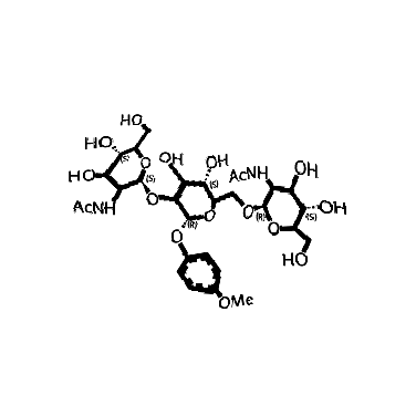 COc1ccc(O[C@H]2OC(CO[C@@H]3OC(CO)[C@@H](O)C(O)C3NC(C)=O)[C@@H](O)C(O)C2O[C@@H]2OC(CO)[C@@H](O)C(O)C2NC(C)=O)cc1